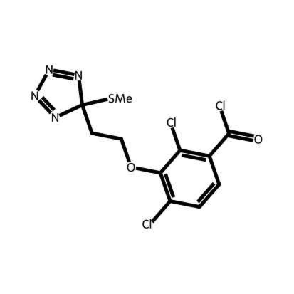 CSC1(CCOc2c(Cl)ccc(C(=O)Cl)c2Cl)N=NN=N1